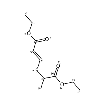 CCOC(=O)C=CSC(C)C(=O)OCC